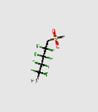 [CH2]CS(=O)(=O)CC(F)(F)C(F)(F)C(F)(F)C(F)(F)C(F)(F)F